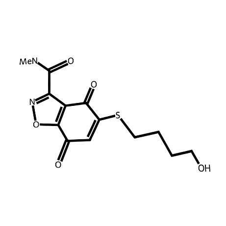 CNC(=O)c1noc2c1C(=O)C(SCCCCO)=CC2=O